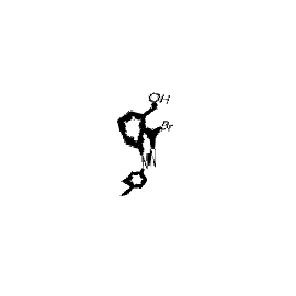 Cc1ccc(-n2nc(Br)c3c(CO)cccc32)cc1